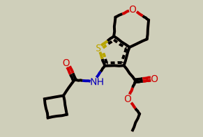 CCOC(=O)c1c(NC(=O)C2CCC2)sc2c1CCOC2